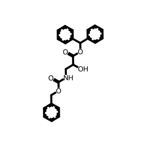 O=C(NCC(O)C(=O)OC(c1ccccc1)c1ccccc1)OCc1ccccc1